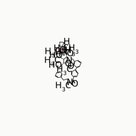 COc1c(CN2O[C@@H](CO)[C@@H]([C@H](C)O)[C@H]2C(=O)N[C@H]2C[C@H]3C[C@@H]([C@@H]2C)C3(C)C)cccc1-c1ccc(C(=O)N(C)CCc2ccccc2)cc1